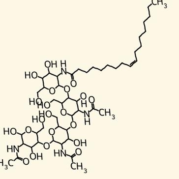 CCCCCCCC/C=C\CCCCCCCC(=O)NC1C(OC2C(CO)OC(OC3C(CO)OC(OC4C(CO)OC(O)C(NC(C)=O)C4O)C(NC(C)=O)C3O)C(NC(C)=O)C2O)OC(CO)C(O)C1O